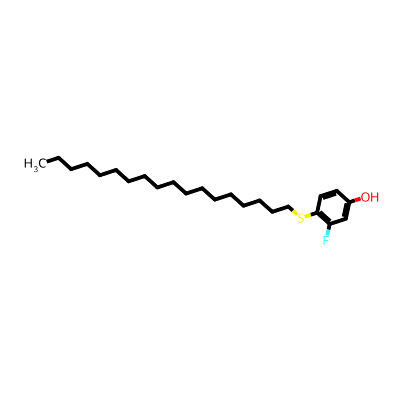 CCCCCCCCCCCCCCCCCCSc1ccc(O)cc1F